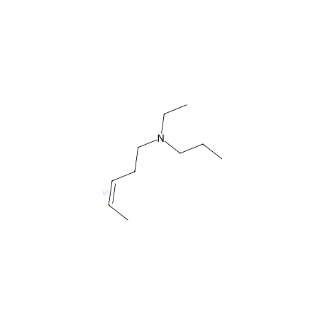 C/C=C\CCN(CC)CCC